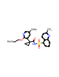 COCCOc1ncc(OC)cc1C1(C(=O)NS(=O)(=O)c2cccc3nc(C)ccc23)CC1